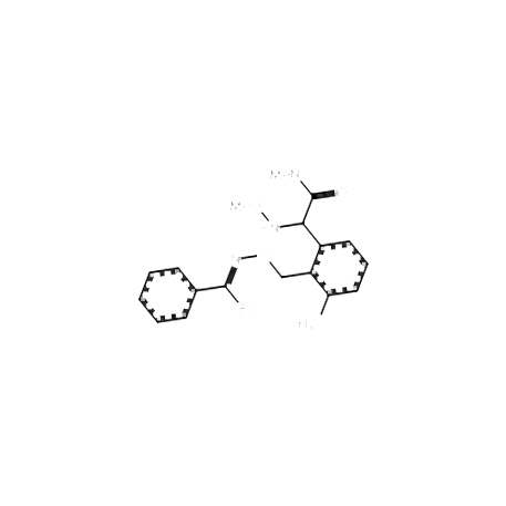 CC/C(=N\OCc1c(C)cccc1C(NOC)C(=O)NC)c1ccccc1